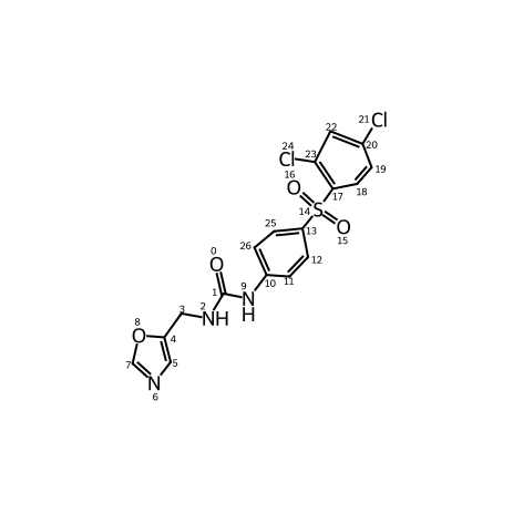 O=C(NCc1cnco1)Nc1ccc(S(=O)(=O)c2ccc(Cl)cc2Cl)cc1